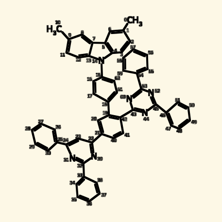 Cc1ccc2c(c1)c1cc(C)ccc1n2-c1ccc(-c2cc(-c3cc(-c4ccccc4)nc(-c4ccccc4)n3)ccc2-c2nc(-c3ccccc3)nc(-c3ccccc3)n2)cc1